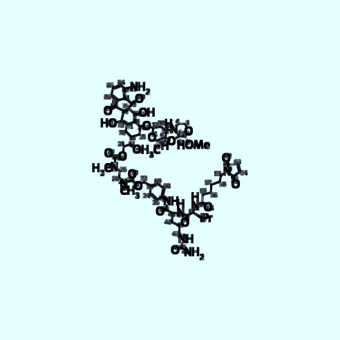 CO[C@H]1OCCN2[C@@H]1O[C@@H]1[C@H](C)OC(O[C@H]3C[C@H](C(=O)COC(=O)N(C)CCN(C)C(=O)OCc4ccc(NC(=O)[C@H](CCCNC(N)=O)NC(=O)[C@@H](NC(=O)CCCCCN5C(=O)C=CC5=O)C(C)C)cc4)Cc4c(O)c5c(c(O)c43)C(=O)c3c(N)cccc3C5=O)C[C@@H]12